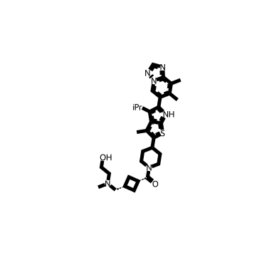 Cc1c(-c2[nH]c3sc(C4CCN(C(=O)[C@H]5C[C@@H](CN(C)CCO)C5)CC4)c(C)c3c2C(C)C)cn2ncnc2c1C